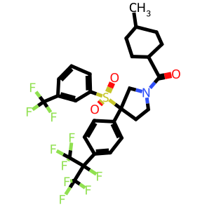 CC1CCC(C(=O)N2CCC(c3ccc(C(F)(C(F)(F)F)C(F)(F)F)cc3)(S(=O)(=O)c3cccc(C(F)(F)F)c3)C2)CC1